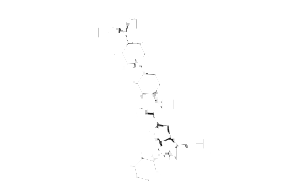 Cc1nn(C2CCCCC2)c2sc(C(=O)N[C@H]3CC[C@H](N4CCC(N(C)C)CC4)CC3)cc12